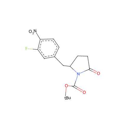 CC(C)(C)OC(=O)N1C(=O)CCC1Cc1ccc([N+](=O)[O-])c(F)c1